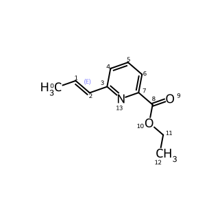 C/C=C/c1cccc(C(=O)OCC)n1